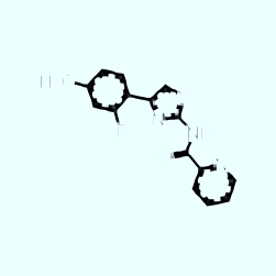 Cc1ccc(-c2csc(NC(=O)c3ccccn3)n2)c(F)c1